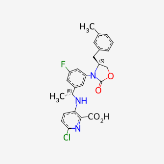 Cc1cccc(C[C@H]2COC(=O)N2c2cc(F)cc([C@@H](C)Nc3ccc(Cl)nc3C(=O)O)c2)c1